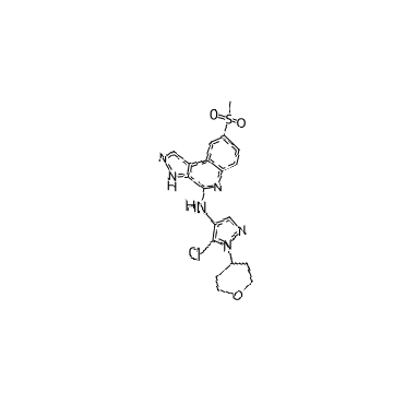 CS(=O)(=O)c1ccc2nc(Nc3cnn(C4CCOCC4)c3Cl)c3[nH]ncc3c2c1